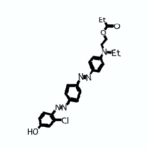 CCC(=O)OCCN(CC)c1ccc(N=Nc2ccc(N=Nc3ccc(O)cc3Cl)cc2)cc1